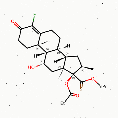 CCCOC(=S)[C@@]1(OC(=O)CC)[C@H](C)C[C@H]2[C@@H]3CCC4=C(F)C(=O)CC[C@]4(C)[C@H]3[C@@H](O)C[C@@]21C